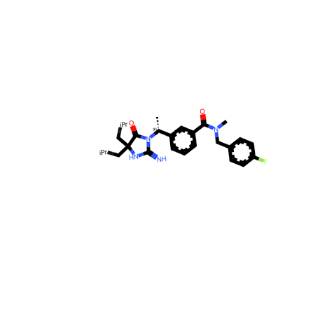 CC(C)CC1(CC(C)C)NC(=N)N([C@H](C)c2cccc(C(=O)N(C)Cc3ccc(F)cc3)c2)C1=O